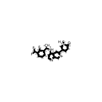 C[C@@H](Nc1ccnc2cnc(-c3ccc(=O)n(C)c3)cc12)c1cccc(C(F)F)c1F